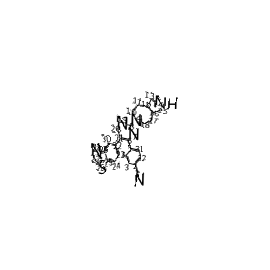 N#Cc1ccc(-c2nc(N3CCC4CNCC4CC3)ncc2-c2ccc3scnc3c2)cc1